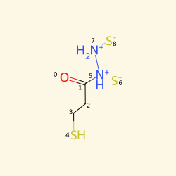 O=C(CCS)[NH+]([S-])[NH2+][S-]